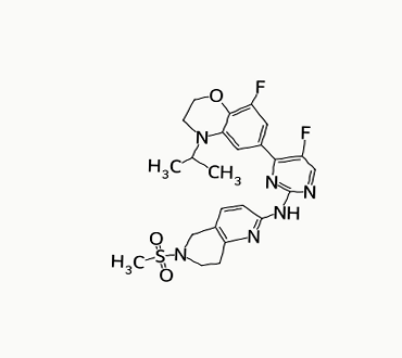 CC(C)N1CCOc2c(F)cc(-c3nc(Nc4ccc5c(n4)CCN(S(C)(=O)=O)C5)ncc3F)cc21